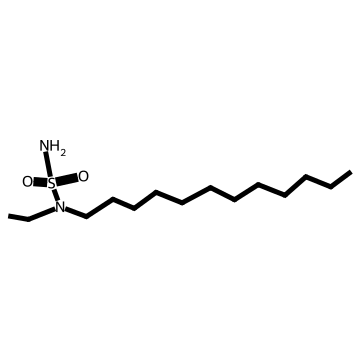 CCCCCCCCCCCCN(CC)S(N)(=O)=O